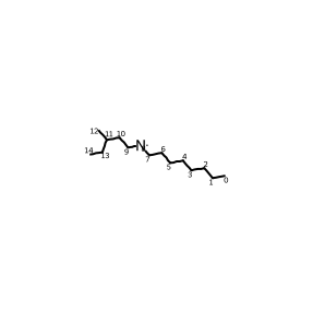 CCCCCCCC[N]CCC(C)CC